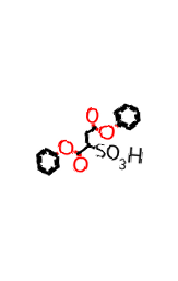 O=C(CC(C(=O)Oc1ccccc1)S(=O)(=O)O)Oc1ccccc1